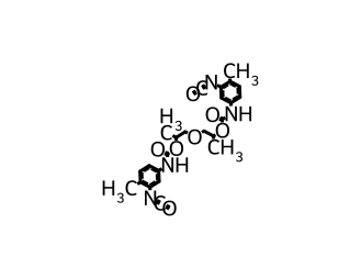 Cc1ccc(NC(=O)OC(C)COCC(C)OC(=O)Nc2ccc(C)c(N=C=O)c2)cc1N=C=O